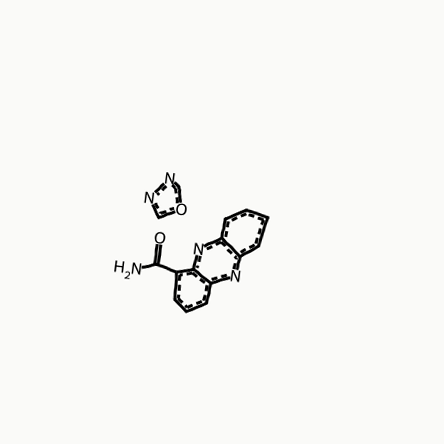 NC(=O)c1cccc2nc3ccccc3nc12.c1nnco1